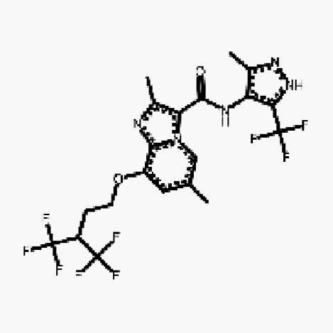 Cc1cc(OCCC(C(F)(F)F)C(F)(F)F)c2nc(C)c(C(=O)Nc3c(C)n[nH]c3C(F)(F)F)n2c1